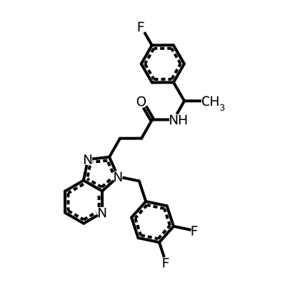 CC(NC(=O)CCc1nc2cccnc2n1Cc1ccc(F)c(F)c1)c1ccc(F)cc1